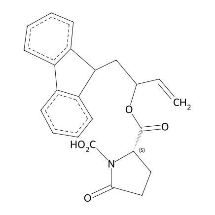 C=CC(CC1c2ccccc2-c2ccccc21)OC(=O)[C@@H]1CCC(=O)N1C(=O)O